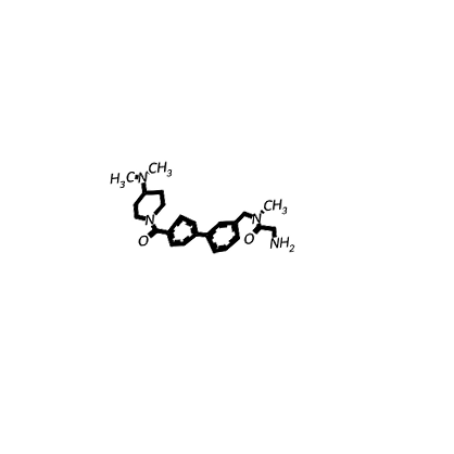 CN(Cc1cccc(-c2ccc(C(=O)N3CCC(N(C)C)CC3)cc2)c1)C(=O)CN